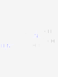 CC(C)(C)N1CC=C2CC(N)=CC=C21